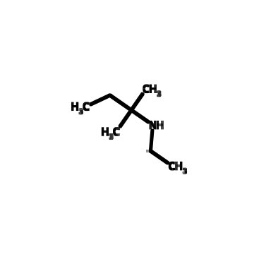 C[CH]NC(C)(C)CC